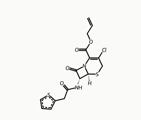 C=CCOC(=O)C1=C(Cl)CS[C@H]2[C@H](NC(=O)Cc3cccs3)C(=O)N12